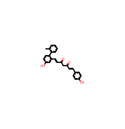 Cc1ccccc1-c1ccc(O)cc1/C=C/C(=O)CC(=O)/C=C/c1ccc(O)cc1